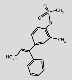 Cc1cc(C(=CC(=O)O)c2ccccc2)ccc1OS(C)(=O)=O